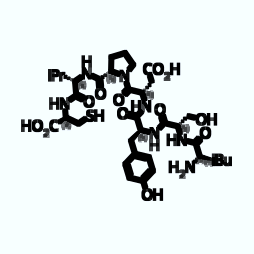 CC[C@H](C)[C@H](N)C(=O)N[C@@H](CO)C(=O)N[C@@H](Cc1ccc(O)cc1)C(=O)N[C@@H](CC(=O)O)C(=O)N1CCC[C@H]1C(=O)N[C@H](C(=O)N[C@@H](CS)C(=O)O)C(C)C